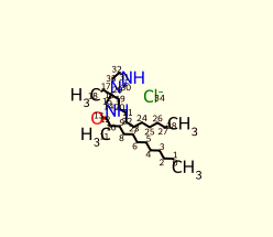 CCCCCCCCCCC(C)C(=O)NCC(CC)(CCCCCCCCCC)[N+]1=CNCC1.[Cl-]